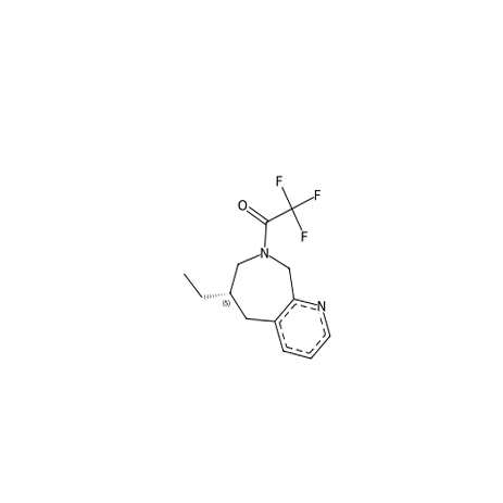 CC[C@H]1Cc2cccnc2CN(C(=O)C(F)(F)F)C1